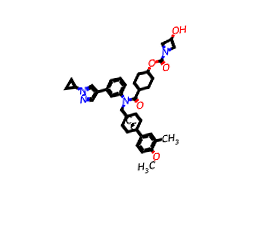 COc1ccc(C23CCC(CN(C(=O)C4CCC(OC(=O)N5CC(O)C5)CC4)c4cccc(-c5cnn(C6CC6)c5)c4)(CC2)CC3)cc1C